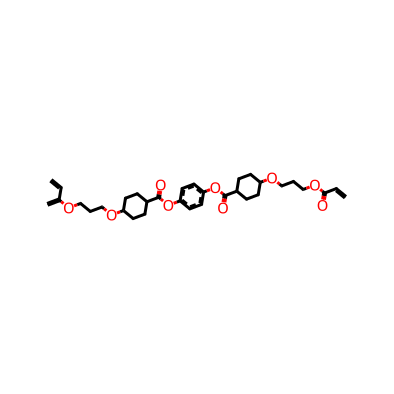 C=CC(=C)OCCCOC1CCC(C(=O)Oc2ccc(OC(=O)C3CCC(OCCCOC(=O)C=C)CC3)cc2)CC1